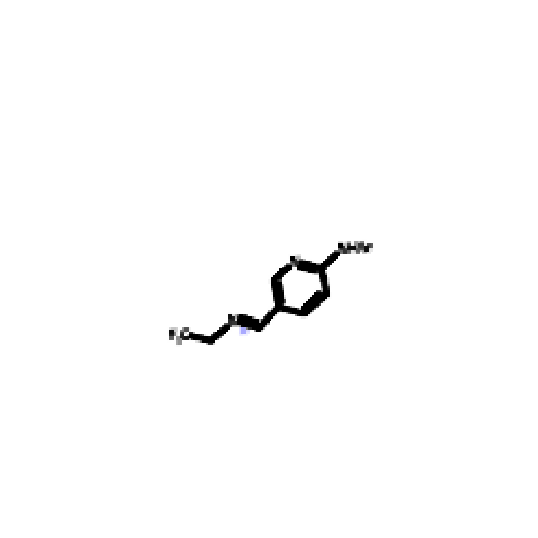 CC(=O)Nc1ccc(/C=N/CC(F)(F)F)cn1